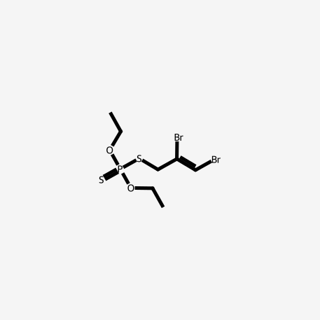 CCOP(=S)(OCC)SCC(Br)=CBr